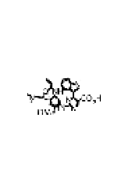 C=CC(=O)Nc1cc(Nc2ncc(C(=O)O)c(-c3cn(C)c4ccccc34)n2)c(OC)cc1OCCN(C)C